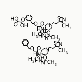 COC1(C2(NC(=O)COCc3ccccc3)CCN(CCc3scnc3C)CC2)NN=C(C)O1.COC1(C2(NC(=O)COCc3ccccc3)CCN(CCc3scnc3C)CC2)NN=C(C)O1.O=C(O)C(=O)O